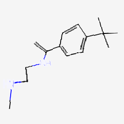 C=C(NCCNC)c1ccc(C(C)(C)C)cc1